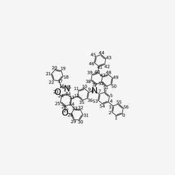 c1ccc(-c2ccc(N(c3ccc(-c4c5nc(-c6ccccc6)oc5cc5oc6ccccc6c45)cc3)c3ccc(-c4ccccc4)c4ccccc34)cc2)cc1